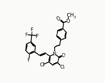 COC(=O)c1ccc(CCn2c(C=Cc3cc(C(F)(F)F)ccc3F)c(Cl)cc(Cl)c2=O)cc1